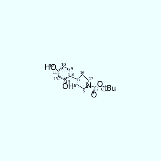 CC(C)(C)OC(=O)N1CCC(c2ccc(O)cc2O)CC1